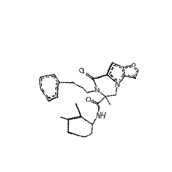 CC1CCCC(NC(=O)C2(C)Cn3c(cc4occc43)C(=O)N2CCc2ccccc2)C1C